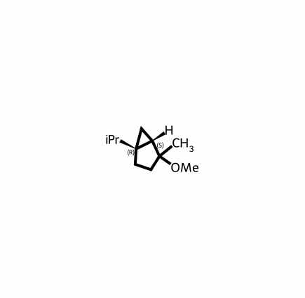 COC1(C)CC[C@]2(C(C)C)C[C@H]12